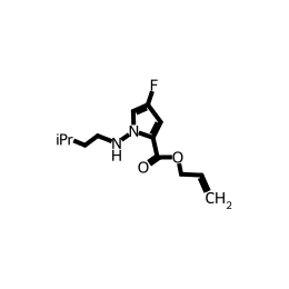 C=CCOC(=O)c1cc(F)cn1NCCC(C)C